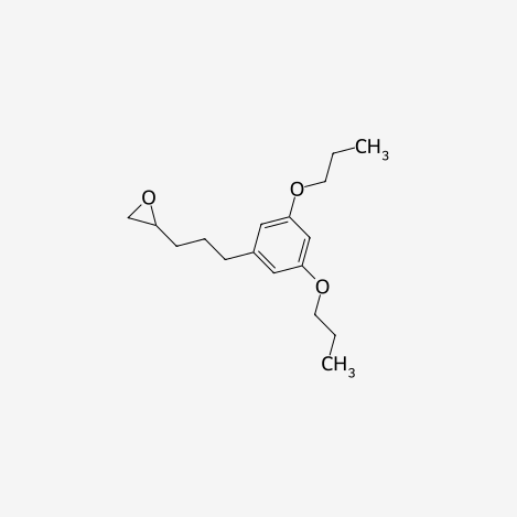 CCCOc1cc(CCCC2CO2)cc(OCCC)c1